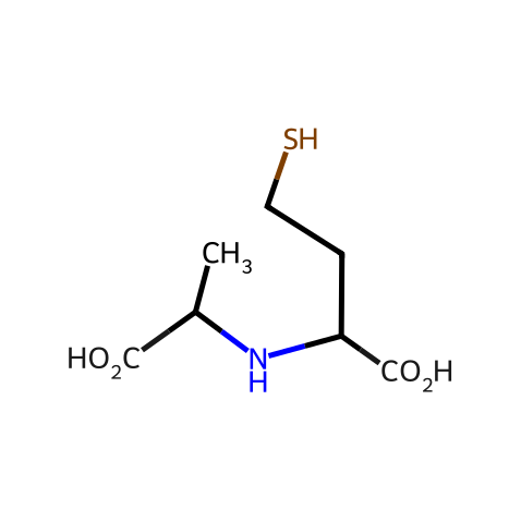 CC(NC(CCS)C(=O)O)C(=O)O